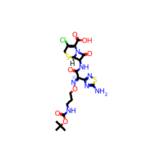 CC(C)(C)OC(=O)NCCCO/N=C(/C(=O)NC1C(=O)N2C(C(=O)O)=C(Cl)CS[C@H]12)c1nsc(N)n1